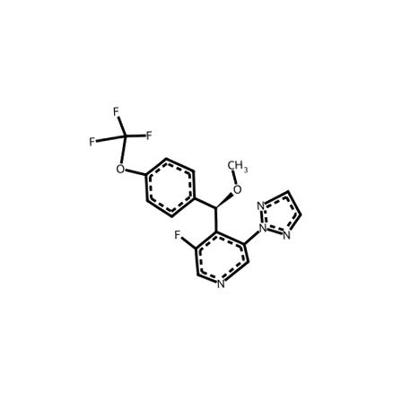 CO[C@H](c1ccc(OC(F)(F)F)cc1)c1c(F)cncc1-n1nccn1